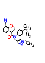 CCn1cc(CN(C(=O)C2CCOc3c(C#N)cccc32)c2ccc(C(C)C)cc2)cn1